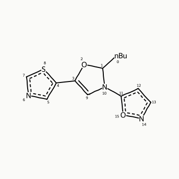 CCCCC1OC(c2cncs2)=[C]N1c1ccno1